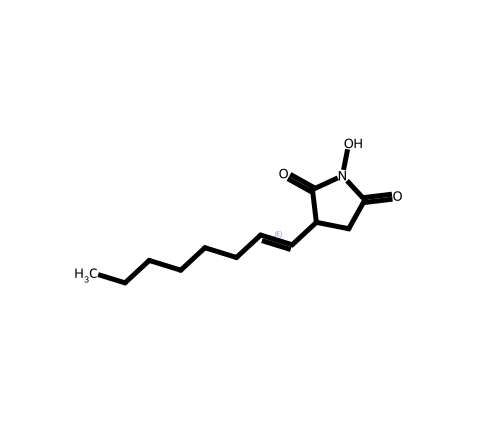 CCCCCC/C=C/C1CC(=O)N(O)C1=O